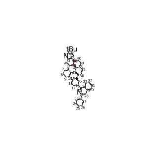 CC(C)(C)c1nc2cc(-c3ccccc3-c3c(-c4cccc(-c5nc(-c6ccccc6)cc6ccccc56)c4)ccc4ccccc34)ccc2s1